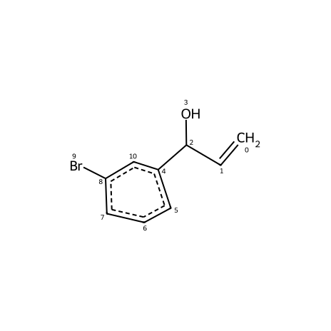 C=CC(O)c1cccc(Br)c1